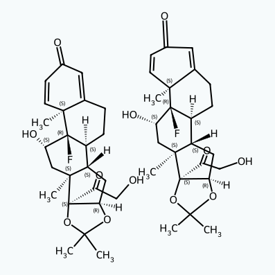 CC1(C)O[C@@H]2C[C@H]3[C@@H]4CCC5=CC(=O)C=C[C@]5(C)[C@@]4(F)[C@@H](O)C[C@]3(C)[C@]2(C(=O)CO)O1.CC1(C)O[C@@H]2C[C@H]3[C@@H]4CCC5=CC(=O)C=C[C@]5(C)[C@@]4(F)[C@@H](O)C[C@]3(C)[C@]2(C(=O)CO)O1